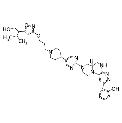 CC(C)C(CO)c1cc(OCCCN2CCC(c3cnc(N4CCN5c6cc(-c7ccccc7O)nnc6NC[C@H]5C4)nc3)CC2)no1